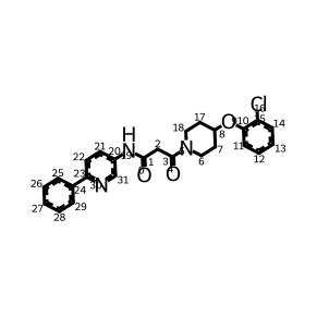 O=C(CC(=O)N1CCC(Oc2ccccc2Cl)CC1)Nc1ccc(-c2ccccc2)nc1